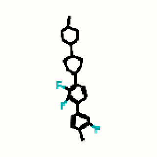 Cc1ccc(-c2ccc(C3CCC(C4CCC(C)CC4)CC3)c(F)c2F)cc1F